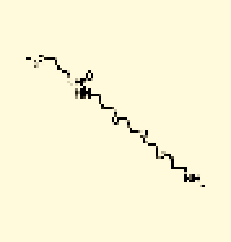 CCCCOC(=O)NCCCOCCOCCOCCCN